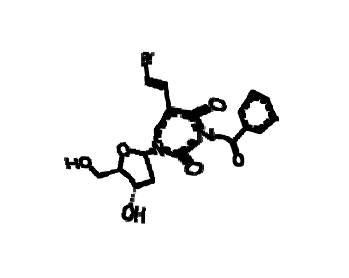 O=C(c1ccccc1)n1c(=O)c(/C=C/Br)cn([C@H]2C[C@H](O)[C@@H](CO)O2)c1=O